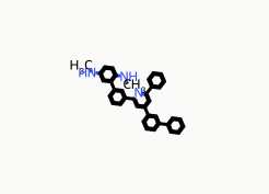 CNc1ccc(NC)c(-c2cccc(-c3cc(-c4cccc(-c5ccccc5)c4)cc(-c4ccccc4)n3)c2)c1